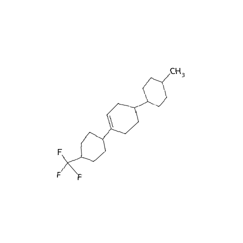 CC1CCC(C2CC=C(C3CCC(C(F)(F)F)CC3)CC2)CC1